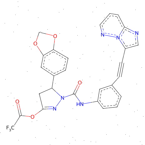 O=C(Nc1cccc(C#Cc2cnc3cccnn23)c1)N1N=C(OC(=O)C(F)(F)F)CC1c1ccc2c(c1)OCO2